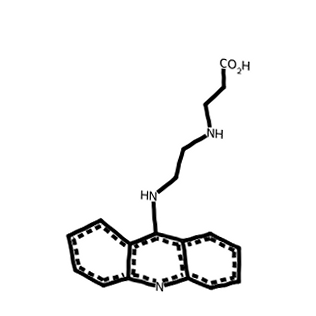 O=C(O)CCNCCNc1c2ccccc2nc2ccccc12